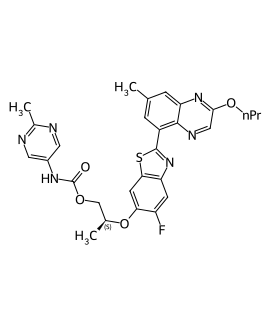 CCCOc1cnc2c(-c3nc4cc(F)c(O[C@@H](C)COC(=O)Nc5cnc(C)nc5)cc4s3)cc(C)cc2n1